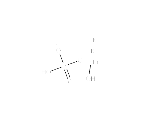 CCCO.O=P([O-])([O-])O.[K+].[K+]